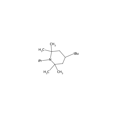 CC(C)N1C(C)(C)CC(C(C)(C)C)CC1(C)C